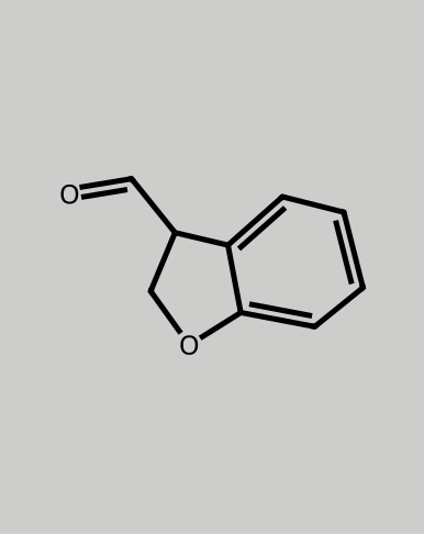 O=CC1COc2ccccc21